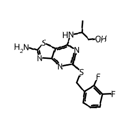 CC(CO)Nc1nc(SCc2cccc(F)c2F)nc2nc(N)sc12